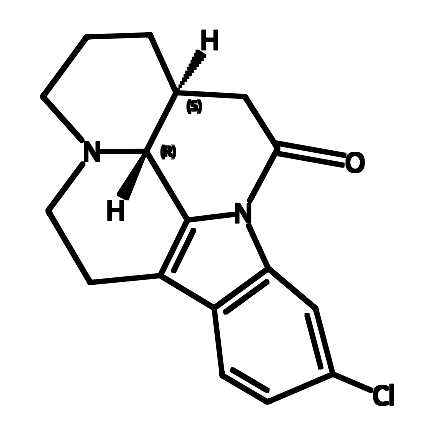 O=C1C[C@@H]2CCCN3CCc4c(n1c1cc(Cl)ccc41)[C@@H]23